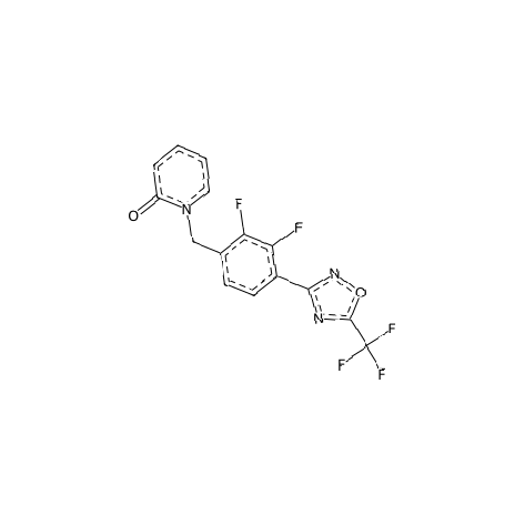 O=c1ccccn1Cc1ccc(-c2noc(C(F)(F)F)n2)c(F)c1F